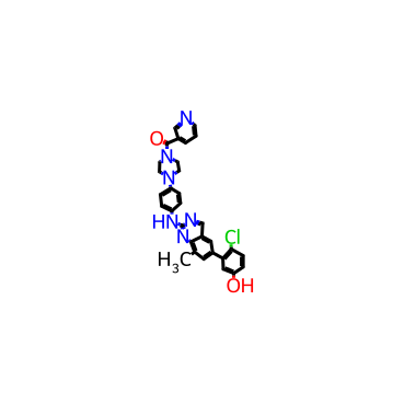 Cc1cc(-c2cc(O)ccc2Cl)cc2cnc(Nc3ccc(N4CCN(C(=O)c5cccnc5)CC4)cc3)nc12